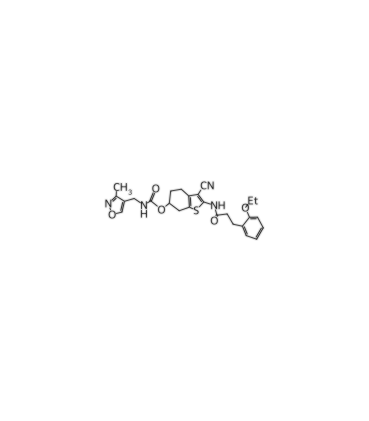 CCOc1ccccc1CCC(=O)Nc1sc2c(c1C#N)CCC(OC(=O)NCc1conc1C)C2